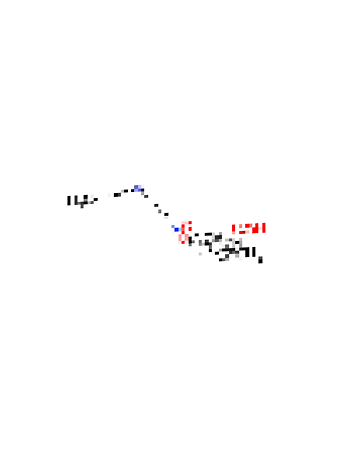 CCCCCCCC/C=C\CCCCCCCCNC(=O)O[C@@H]1CC[C@@]2(C)C(CCC3C2CC[C@@]2(C)C3CC[C@@H]2[C@H](C)CCC(=O)O)C1